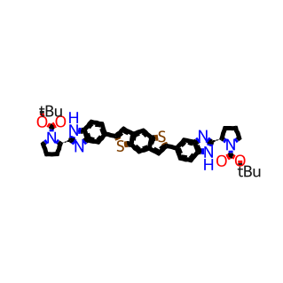 CC(C)(C)OC(=O)N1CCC[C@H]1c1nc2cc(-c3cc4cc5sc(-c6ccc7[nH]c([C@@H]8CCCN8C(=O)OC(C)(C)C)nc7c6)cc5cc4s3)ccc2[nH]1